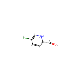 O=C=C1C=CC(Br)=CN1